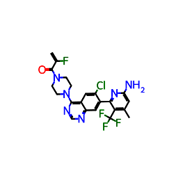 C=C(F)C(=O)N1CCN(c2ncnc3cc(-c4nc(N)cc(C)c4C(F)(F)F)c(Cl)cc23)CC1